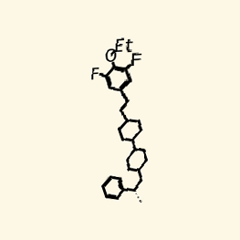 CCOc1c(F)cc(CCC2CCC(C3CCC(C[C@H](C)c4ccccc4)CC3)CC2)cc1F